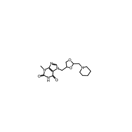 Cn1c(=O)[nH]c(=O)c2c1ncn2CC1COC(CN2CCCCC2)O1